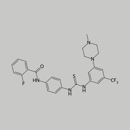 CN1CCN(c2cc(NC(=S)Nc3ccc(NC(=O)c4ccccc4F)cc3)cc(C(F)(F)F)c2)CC1